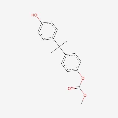 COC(=O)Oc1ccc(C(C)(C)c2ccc(O)cc2)cc1